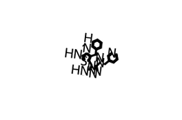 CNc1sc2c(c1NC)C(c1ccccc1)=NN(Cc1cccnc1)c1nnc(NC)n1-2